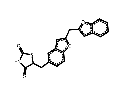 O=C1NC(=O)C(Cc2ccc3oc(Cc4cc5ccccc5o4)cc3c2)S1